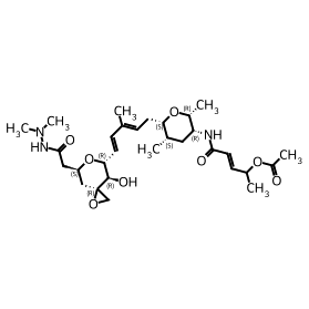 CC(=O)OC(C)C=CC(=O)N[C@@H]1C[C@H](C)[C@H](CC=C(C)C=C[C@H]2O[C@H](CC(=O)NN(C)C)C[C@@]3(CO3)[C@@H]2O)O[C@@H]1C